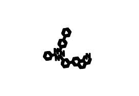 c1ccc(-c2ccc(-c3nc(-c4ccccc4)nc(-c4cccc(-c5ccc6c(ccc7ccncc76)c5)c4)n3)cc2)cc1